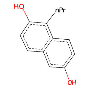 CCCc1c(O)ccc2cc(O)ccc12